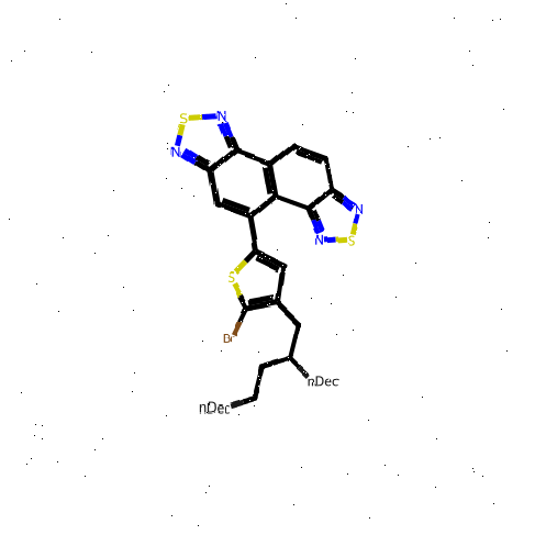 CCCCCCCCCCCCC(CCCCCCCCCC)Cc1cc(-c2cc3nsnc3c3ccc4nsnc4c23)sc1Br